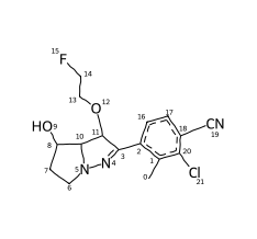 Cc1c(C2=NN3CCC(O)C3C2OCCF)ccc(C#N)c1Cl